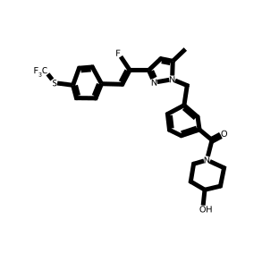 Cc1cc(/C(F)=C/c2ccc(SC(F)(F)F)cc2)nn1Cc1cccc(C(=O)N2CCC(O)CC2)c1